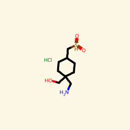 Cl.NCC1(CO)CCC(C[SH](=O)=O)CC1